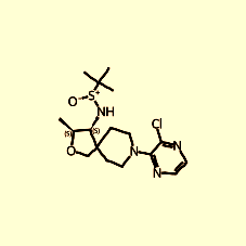 C[C@@H]1OCC2(CCN(c3nccnc3Cl)CC2)[C@@H]1N[S+]([O-])C(C)(C)C